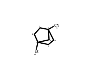 CCC12CCC(C#N)(CC1)C2